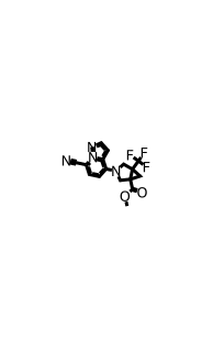 COC(=O)C12CN(c3ccc(C#N)n4nccc34)CC1(C(F)(F)F)C2